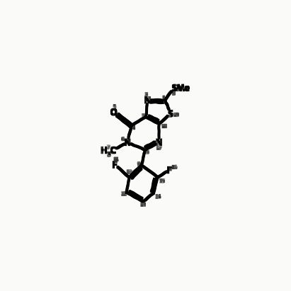 CSc1nc2c(=O)n(C)c(-c3c(F)cccc3F)nc2s1